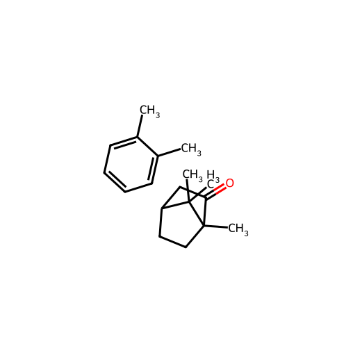 CC12CCC(CC1=O)C2(C)C.Cc1ccccc1C